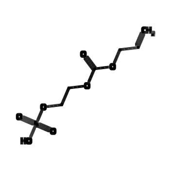 C=CCOC(=O)OCCOS(=O)(=O)O